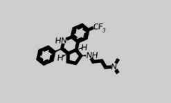 CN(C)CCCN[C@@H]1CC[C@@H]2[C@H]1c1cc(C(F)(F)F)ccc1N[C@@H]2c1ccccc1